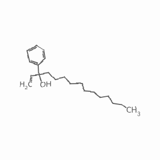 C=CC(O)(CCCCCCCCCCCC)c1ccccc1